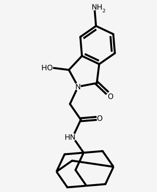 Nc1ccc2c(c1)C(O)N(CC(=O)NC13CC4CC(CC(C4)C1)C3)C2=O